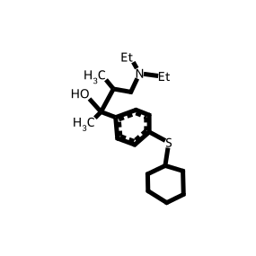 CCN(CC)CC(C)C(C)(O)c1ccc(SC2CCCCC2)cc1